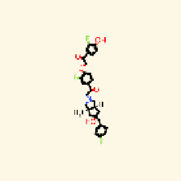 C[C@]12CN(CC(=O)c3ccc(OCC(=O)c4ccc(O)c(F)c4)c(F)c3)C[C@H]1C[C@](O)(Cc1ccc(F)cc1)C2